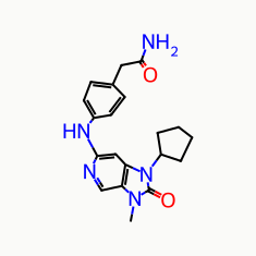 Cn1c(=O)n(C2CCCC2)c2cc(Nc3ccc(CC(N)=O)cc3)ncc21